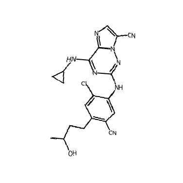 CC(O)CCc1cc(Cl)c(Nc2nc(NC3CC3)c3ncc(C#N)n3n2)cc1C#N